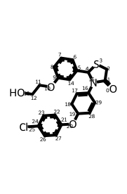 O=C1CSC(c2cccc(OCCO)c2)N1C1=CCC(Oc2ccc(Cl)cc2)C=C1